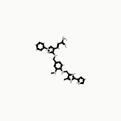 COc1cc(COc2nn(-c3ccccc3)cc2C=CC(N)=S)ccc1OCc1nc(-c2ccco2)oc1C